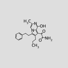 CCCc1c(C(=O)C(N)=O)c2c(O)nc(C)cn2c1CCc1ccccc1